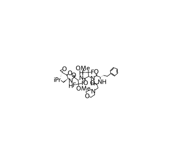 COC(F)(F)[C@@H](NC(=O)[C@H](CCc1ccccc1)NC(=O)CN1CCOCC1)C(=O)N[C@@H](C(=O)N[C@@H](CC(C)C)C(=O)[C@@]1(C)CO1)C(F)(F)OC